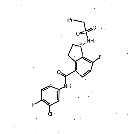 CC(C)CS(=O)(=O)N[C@H]1CCc2c(C(=O)Nc3ccc(F)c(Cl)c3)ccc(F)c21